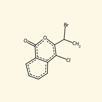 CC(Br)c1oc(=O)c2ccccc2c1Cl